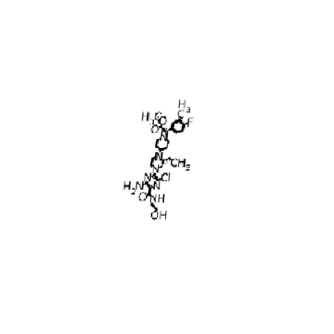 CC[C@H]1CN(c2nc(N)c(C(=O)NCCO)nc2Cl)CCN1C1CCN([C@@H](C(=O)OC)c2ccc(F)c(C)c2)CC1